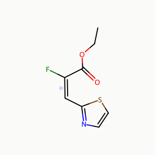 CCOC(=O)/C(F)=C\c1nccs1